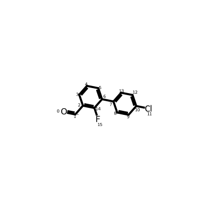 O=[C]c1cccc(-c2ccc(Cl)cc2)c1F